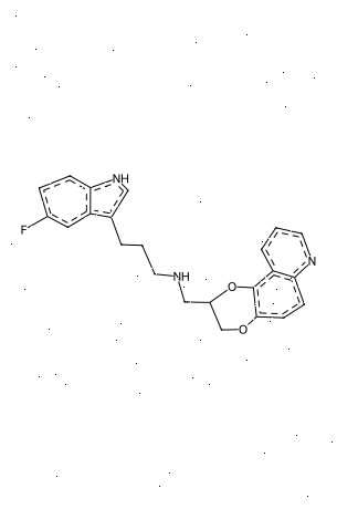 Fc1ccc2[nH]cc(CCCNCC3COc4ccc5ncccc5c4O3)c2c1